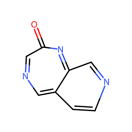 O=c1cncc2ccncc2n1